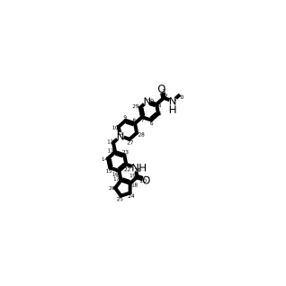 CNC(=O)c1ccc(C2=CCN(Cc3ccc4c5c(c(=O)[nH]c4c3)CCC5)CC2)cn1